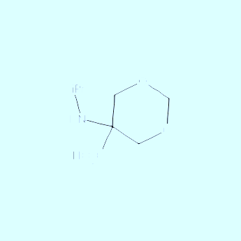 CC(C)NC1(C(=O)O)COCOC1